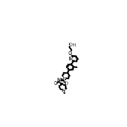 Cc1cc(C2CCN(S(=O)(=O)C3(C(N)=O)CCN(C)CC3)CC2)ccc1-c1cccc(OCCO)n1